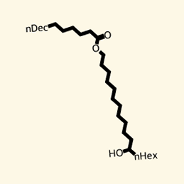 CCCCCCCCCCCCCCCC(=O)OCCCCCCCCCCCC(O)CCCCCC